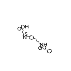 O=C(O)CCc1cnc(-c2ccc(CCCCNC(=O)OCc3ccccc3)cc2)s1